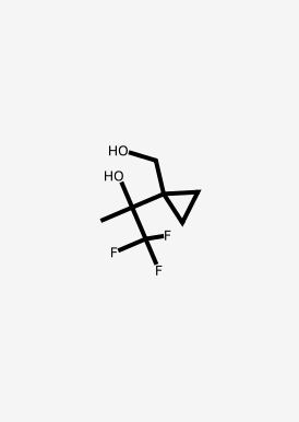 CC(O)(C(F)(F)F)C1(CO)CC1